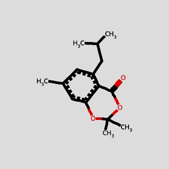 Cc1cc(CC(C)C)c2c(c1)OC(C)(C)OC2=O